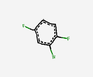 Fc1[c]cc(F)c(Br)c1